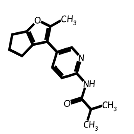 Cc1oc2c(c1-c1ccc(NC(=O)C(C)C)nc1)CCC2